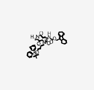 CCC(=O)CN(CCCCO[Si](c1ccccc1)(c1ccccc1)C(C)(C)C)C(=O)[C@H](CCC(N)=O)NC(=O)OCC1c2ccccc2-c2ccccc21